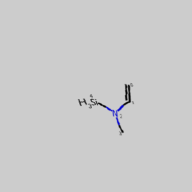 C=CN(C)[SiH3]